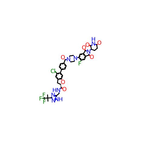 CC(C)(c1n[nH]c(CNC(=O)[C@H]2Cc3cc(Cl)c(-c4ccc(C(=O)N5CCN(c6cc7c(cc6F)C(=O)N(C6CCC(=O)NC6=O)C7=O)CC5)cc4)cc3O2)n1)C(F)(F)F